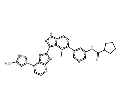 Cc1cn(-c2ccnc3[nH]c(-c4n[nH]c5ccc(-c6cncc(NC(=O)C7CCCC7)c6)c(F)c45)nc23)cn1